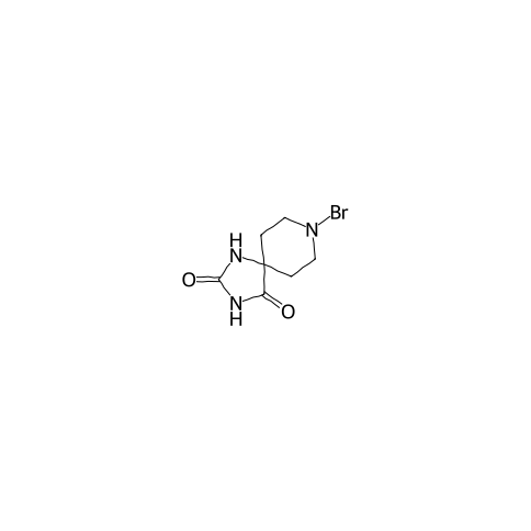 O=C1NC(=O)C2(CCN(Br)CC2)N1